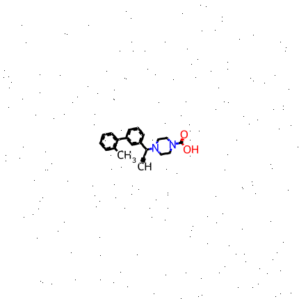 C#CC(c1cccc(-c2ccccc2C)c1)N1CCN(C(=O)O)CC1